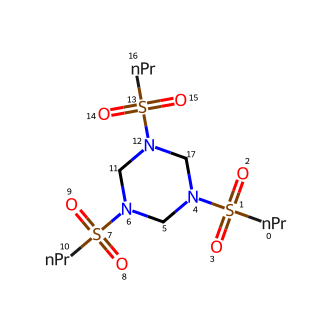 CCCS(=O)(=O)N1CN(S(=O)(=O)CCC)CN(S(=O)(=O)CCC)C1